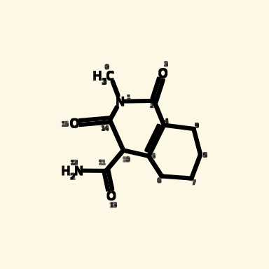 CN1C(=O)C2=C(CCCC2)C(C(N)=O)C1=O